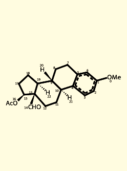 COc1ccc2c(c1)CC[C@@H]1[C@@H]2CC[C@]2(C=O)[C@@H](OC(C)=O)CC[C@@H]12